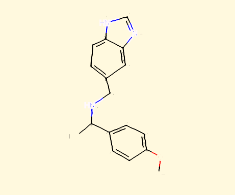 COc1ccc(C(C)NCc2ccc3[nH]cnc3c2)cc1